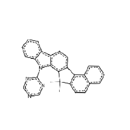 CC1(C)c2ccc3ccccc3c2-c2ccc3c4ccccc4n(-c4ncncn4)c3c21